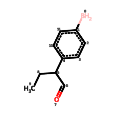 Bc1ccc(C(C=O)CC)cc1